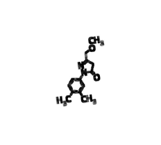 COCC1=NN(c2ccc(C)c(C)c2)C(=O)C1